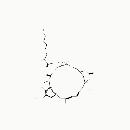 COc1cc2cc(c1Cl)N(C)C(=O)C[C@H](OC(=O)C(COCCCSSC)OC)[C@]1(C)O[C@H]1C[C@H](C)[C@@H]1C[C@@](O)(NC(=O)O1)[C@H](OC)/C=C/C=C(\C)C2